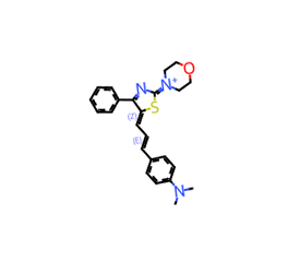 CN(C)c1ccc(/C=C/C=C2\SC(=[N+]3CCOCC3)N=C2c2ccccc2)cc1